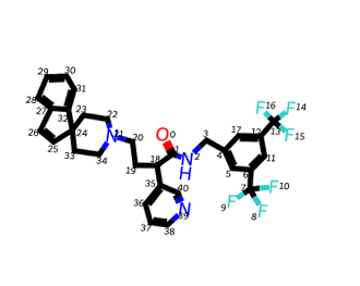 O=C(NCc1cc(C(F)(F)F)cc(C(F)(F)F)c1)C(CCN1CCC2(C=Cc3ccccc32)CC1)c1cccnc1